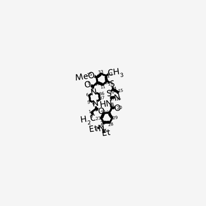 C=CC(=O)N1CCN(C(=O)c2cc(Sc3cnc(NC(=O)c4ccc(N(CC)CC)cc4)s3)c(C)cc2OC)CC1